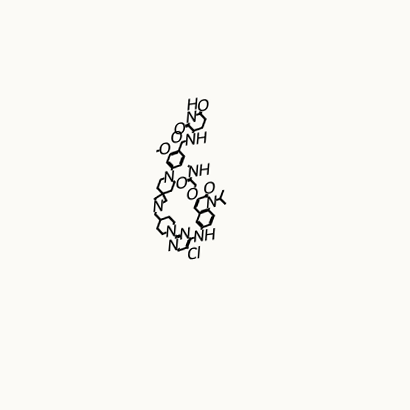 CNC(=O)COc1cc2cc(Nc3nc(N4CCC(CN5CC6(CCN(c7ccc(C(=O)NC8CCC(=O)NC8=O)c(OC)c7)CC6)C5)CC4)ncc3Cl)ccc2n(C(C)C)c1=O